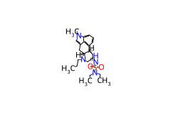 CCCN1C[C@@H](NS(=O)(=O)N(CC)CC)C[C@@H]2c3cccc4c3c(cn4C)C[C@H]21